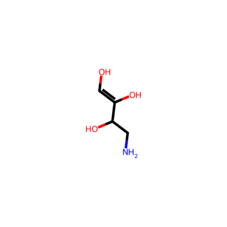 NCC(O)C(O)=CO